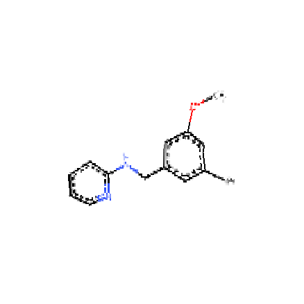 CC(C)c1cc(CNc2cc[c]cn2)cc(OC(F)(F)F)c1